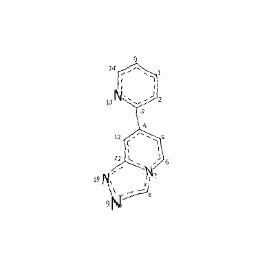 c1ccc(-c2ccn3cnnc3c2)nc1